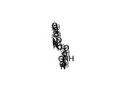 O=C(N=[N+]=Nc1ccc(C(=O)c2ccc(NC(=O)c3ccno3)cc2)cc1)c1ccc(N2CCOCC2)cc1